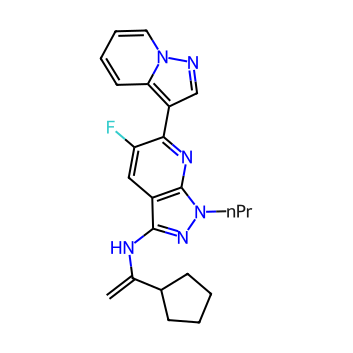 C=C(Nc1nn(CCC)c2nc(-c3cnn4ccccc34)c(F)cc12)C1CCCC1